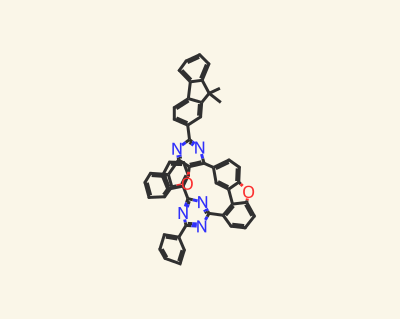 CC1(C)c2ccccc2-c2ccc(-c3nc(-c4ccc5oc6cccc(-c7nc(-c8ccccc8)nc(-c8ccccc8)n7)c6c5c4)c4oc5ccccc5c4n3)cc21